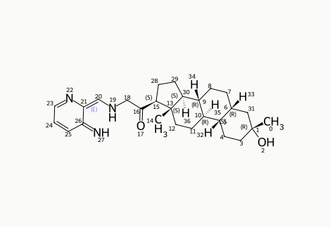 C[C@@]1(O)CC[C@H]2[C@H](CC[C@@H]3[C@@H]2CC[C@]2(C)[C@@H](C(=O)CN/C=C4/N=CC=CC4=N)CC[C@@H]32)C1